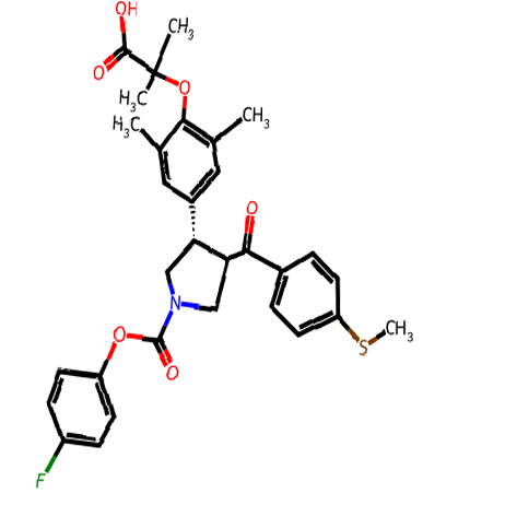 CSc1ccc(C(=O)C2CN(C(=O)Oc3ccc(F)cc3)C[C@@H]2c2cc(C)c(OC(C)(C)C(=O)O)c(C)c2)cc1